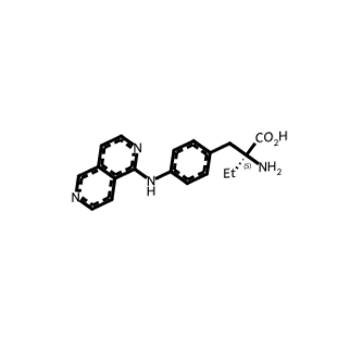 CC[C@](N)(Cc1ccc(Nc2nccc3cnccc23)cc1)C(=O)O